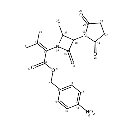 CC(C)=C(C(=O)OCc1ccc([N+](=O)[O-])cc1)N1C(=O)C(N2C(=O)CCC2=O)C1F